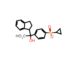 O=C(O)C(O)(c1ccc(S(=O)(=O)C2CC2)cc1)C1CCc2ccccc21